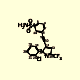 NS(=O)(=O)c1cccc(C#Cc2cc(C(F)(F)F)nn2-c2ccccc2Cl)c1